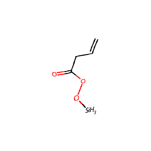 C=CCC(=O)OO[SiH3]